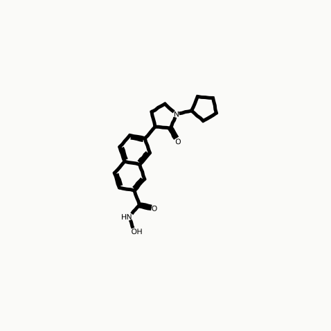 O=C(NO)c1ccc2ccc(C3CCN(C4CCCC4)C3=O)cc2c1